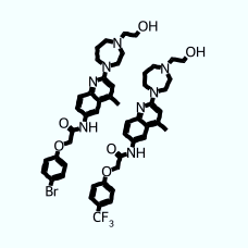 Cc1cc(N2CCCN(CCO)CC2)nc2ccc(NC(=O)COc3ccc(Br)cc3)cc12.Cc1cc(N2CCCN(CCO)CC2)nc2ccc(NC(=O)COc3ccc(C(F)(F)F)cc3)cc12